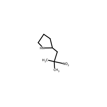 CC(C)(CC1CCCN1)[N+](=O)[O-]